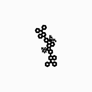 C[Si]1(C)c2cc(-c3ccc(N(c4ccccc4)c4ccccc4)c4ccccc34)ccc2-c2c1cc1c3c(cccc23)[Si](C)(C)c2cc(-c3ccc(N(c4ccccc4)c4ccccc4)c4ccccc34)ccc2-1